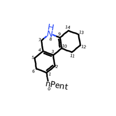 CCCCCC1=CC2=C(CC1)CNC1=C2CCCC1